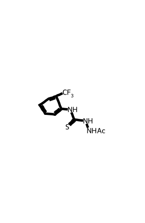 CC(=O)NNC(=S)Nc1ccccc1C(F)(F)F